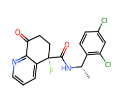 C[C@H](NC(=O)[C@]1(F)CCC(=O)c2ncccc21)c1ccc(Cl)cc1Cl